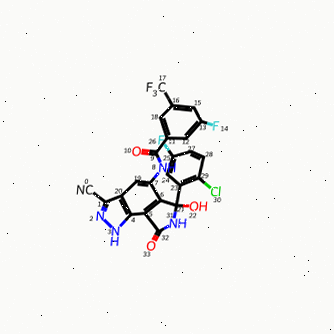 N#Cc1n[nH]c2c3c(c(NC(=O)c4cc(F)cc(C(F)(F)F)c4)cc12)C(O)(c1cc(F)ccc1Cl)NC3=O